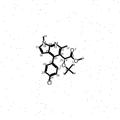 COC(=O)[C@@H](OC(C)(C)C)c1c(C)nc2c(ccn2C)c1-c1ccc(Cl)cc1